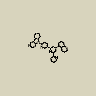 c1ccc(-c2cc(-c3cccc4ccccc34)cc(-c3ccc(-n4c5ccccc5c5cnccc54)nc3)n2)nc1